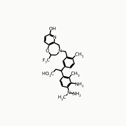 Cc1ccc(C(CC(=O)O)c2ccc(N(C)N)c(N)c2C)cc1CN1Cc2nc(O)ccc2OC(C(F)(F)F)C1